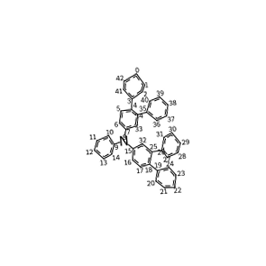 c1ccc(-c2ccc(N(c3ccccc3)c3ccc(-c4ccccc4)c(-c4ccccc4)c3)cc2-c2ccccc2)cc1